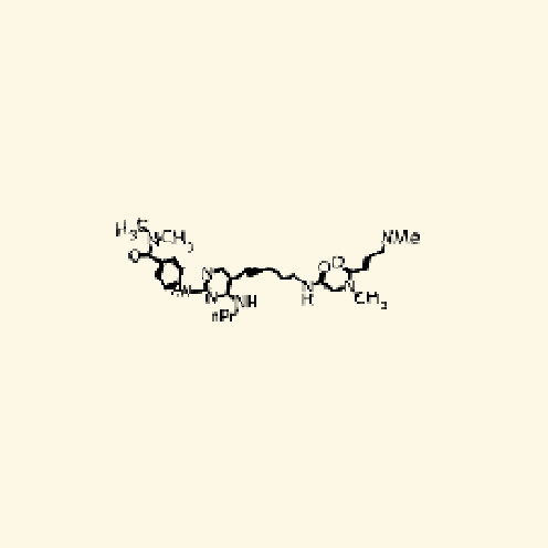 CCCNc1nc(Nc2ccc(C(=O)N(C)C)cc2)ncc1C#CCCCNC(=O)CN(C)C(=O)/C=C/CNC